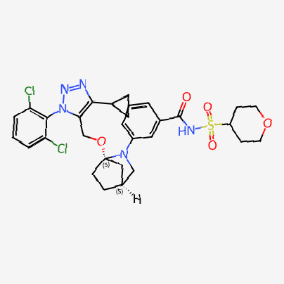 O=C(NS(=O)(=O)C1CCOCC1)c1cccc(N2C[C@H]3CC[C@]2(OCc2c(C4CC4)nnn2-c2c(Cl)cccc2Cl)C3)c1